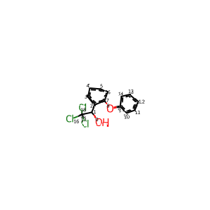 OC(c1ccccc1Oc1ccccc1)C(Cl)(Cl)Cl